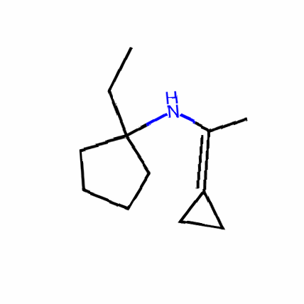 CCC1(NC(C)=C2CC2)CCCC1